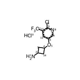 Cl.NC1CC(Oc2cnc(Cl)c(C(F)(F)F)c2)C1